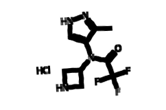 Cc1n[nH]cc1N(C(=O)C(F)(F)F)C1CNC1.Cl